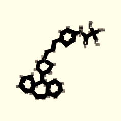 O=C(Nc1ccc(C=CCN2CCC(=C3c4ccccc4C=Cc4ccccc43)CC2)cc1)C(F)(F)F